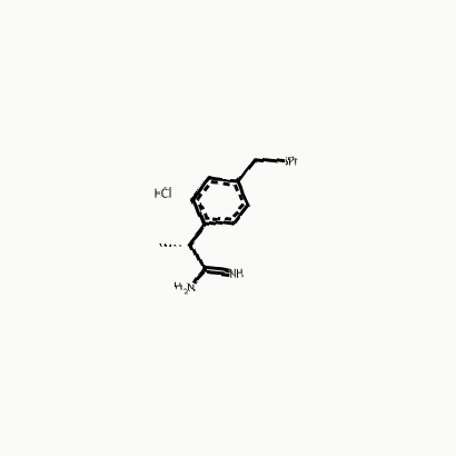 CC(C)Cc1ccc([C@@H](C)C(=N)N)cc1.Cl